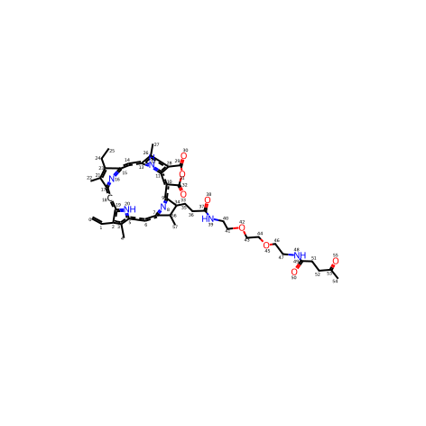 C=Cc1c(C)c2cc3nc(c4c5[nH]c(cc6nc(cc1[nH]2)C(C)=C6CC)c(C)c5C(=O)OC4=O)C(CCC(=O)NCCOCCOCCNC(=O)CCC(C)=O)C3C